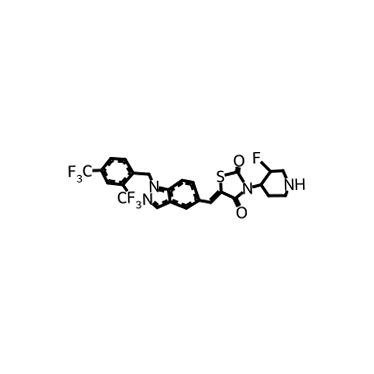 O=C1S/C(=C\c2ccc3c(cnn3Cc3ccc(C(F)(F)F)cc3C(F)(F)F)c2)C(=O)N1C1CCNCC1F